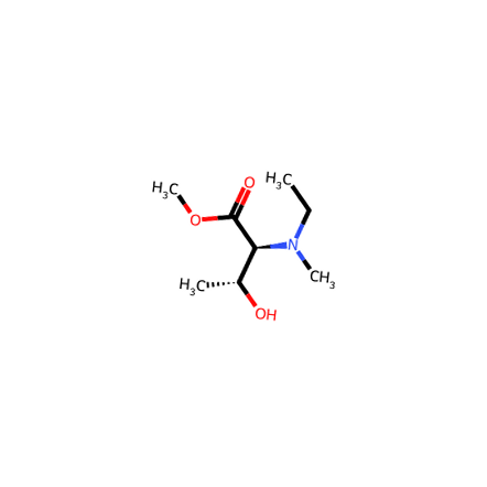 CCN(C)[C@H](C(=O)OC)[C@@H](C)O